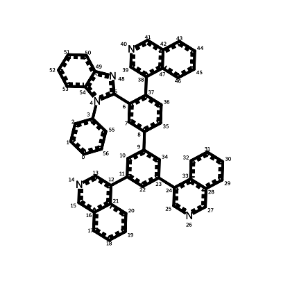 c1ccc(-n2c(-c3cc(-c4cc(-c5cncc6ccccc56)cc(-c5cncc6ccccc56)c4)ccc3-c3cncc4ccccc34)nc3ccccc32)cc1